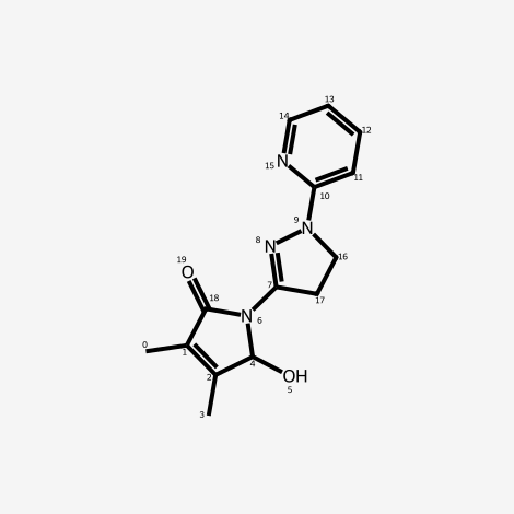 CC1=C(C)C(O)N(C2=NN(c3ccccn3)CC2)C1=O